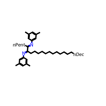 CCCCCCCCCCCCCCCCCCCCCCC(=N\c1cc(C)cc(C)c1)/C(CCCCC)=N/c1cc(C)cc(C)c1